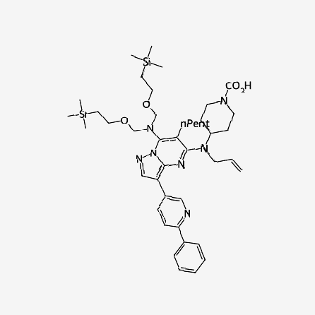 C=CCN(c1nc2c(-c3ccc(-c4ccccc4)nc3)cnn2c(N(COCC[Si](C)(C)C)COCC[Si](C)(C)C)c1CCCCC)C1CCN(C(=O)O)CC1